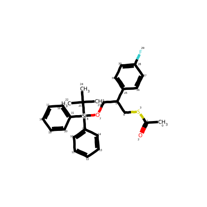 CC(=O)SCC(CO[Si](c1ccccc1)(c1ccccc1)C(C)(C)C)c1ccc(F)cc1